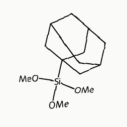 CO[Si](OC)(OC)C12CC3CC(CC(C3)C1)C2